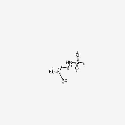 CCN(CCNS(C)(=O)=O)C(C)=O